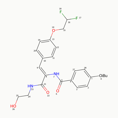 CC(C)COc1ccc(C(=O)N/C(=C\c2ccc(OCC(F)F)cc2)C(=O)NCCO)cc1